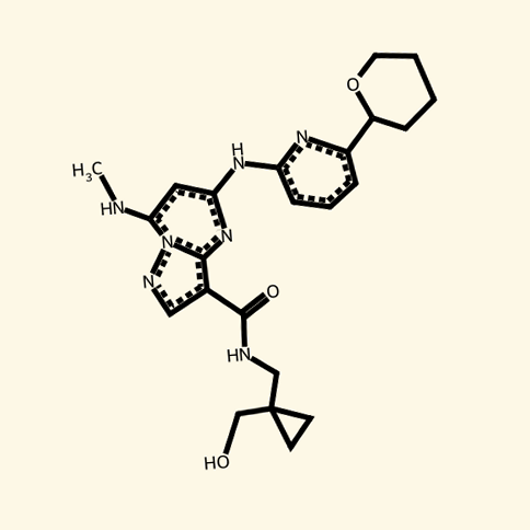 CNc1cc(Nc2cccc(C3CCCCO3)n2)nc2c(C(=O)NCC3(CO)CC3)cnn12